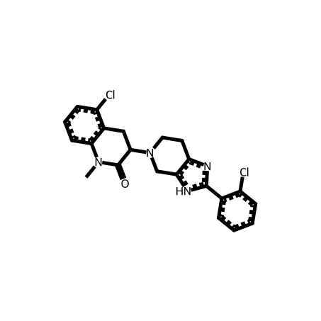 CN1C(=O)C(N2CCc3nc(-c4ccccc4Cl)[nH]c3C2)Cc2c(Cl)cccc21